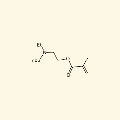 C=C(C)C(=O)OCCN(CC)CCCC